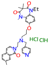 CCN1C(=O)C(C)(C)C(=O)N(C)c2cc(OCCCN(CCn3ccc4ccc(C)cc4c3=O)Cc3ccncc3)ccc21.Cl.Cl